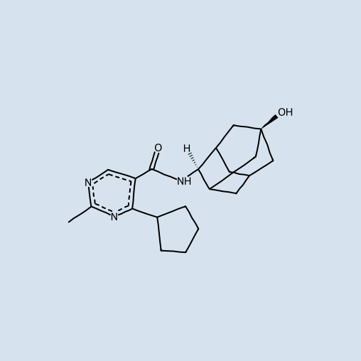 Cc1ncc(C(=O)N[C@H]2C3CC4CC2C[C@@](O)(C4)C3)c(C2CCCC2)n1